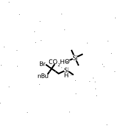 CCCCC(Br)(C[SiH](C)O[Si](C)(C)C)C(=O)O